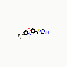 CC(SN1CCNCC1)c1ccc2c(c1)Nc1cc(C(F)(F)F)ccc1O2